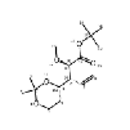 C=C[C@H]([C@@H]1CCOC(C)(C)O1)[C@@H](OC)C(=O)OC(C)(C)C